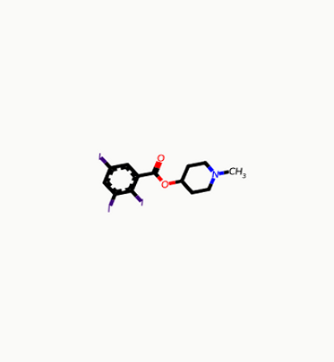 CN1CCC(OC(=O)c2cc(I)cc(I)c2I)CC1